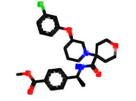 COC(=O)c1ccc([C@H](C)NC(=O)C2(N3CCC[C@@H](Oc4cccc(Cl)c4)C3)CCOCC2)cc1